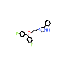 Fc1ccc(C(OCCCCN2CCNC(c3ccccc3)C2)c2ccc(F)cc2)cc1